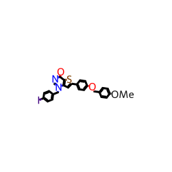 COc1ccc(COc2ccc(-c3cc4c(s3)c(=O)ncn4Cc3ccc(I)cc3)cc2)cc1